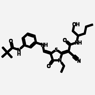 CCCC(CO)NC(=O)C(C#N)=c1sc(=CNc2cccc(NC(=O)C(C)(C)C)c2)c(=O)n1CC